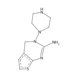 NC1=Nc2sccc2CN1N1CCNCC1